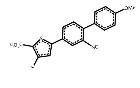 [C-]#[N+]c1cc(-c2cc(F)c(C(=O)O)s2)ccc1-c1ccc(OC)cc1